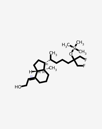 CC(CCCC(CF)(CF)O[Si](C)(C)C)[C@H]1CC[C@H]2/C(=C/CO)CCC[C@]12C